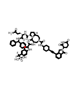 NC(=O)CC[C@H](NC(=O)[C@@H]1CC[C@@H]2CCN(C(=O)NC3CCC(C#Cc4cccc5c4CN(C4CCC(=O)NC4=O)C5=O)CC3)C[C@H](NC(=O)c3cc4cc(C(F)(F)P(=O)(O)O)ccc4[nH]3)C(=O)N21)C(=O)NC(c1ccccc1)c1ccccc1